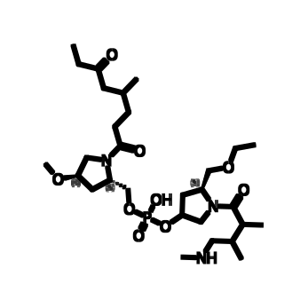 CCOC[C@@H]1CC(OP(=O)(O)OC[C@@H]2C[C@@H](OC)CN2C(=O)CCC(C)CC(=O)CC)CN1C(=O)C(C)C(C)CNC